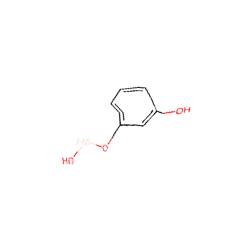 OBOc1cccc(O)c1